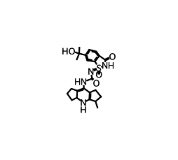 CC1CCC2=C1NC1CCCC1=C2NC(=O)N=S1(=O)NC(=O)c2ccc(C(C)(C)O)cc21